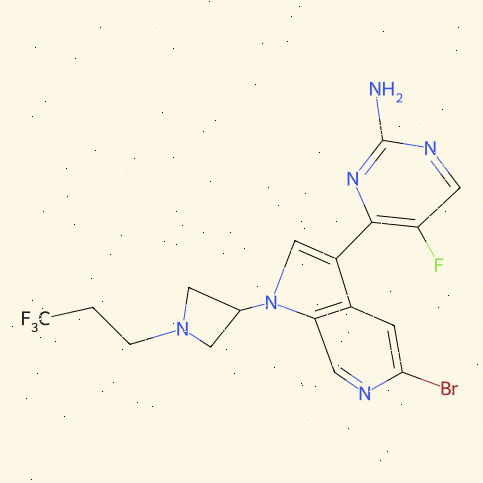 Nc1ncc(F)c(-c2cn(C3CN(CCC(F)(F)F)C3)c3cnc(Br)cc23)n1